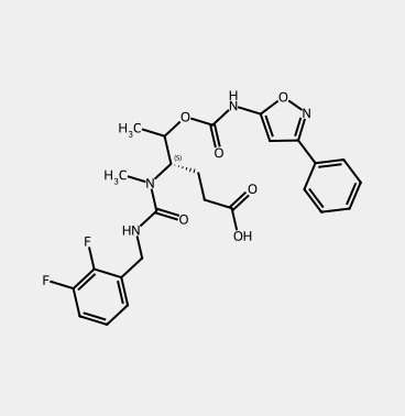 CC(OC(=O)Nc1cc(-c2ccccc2)no1)[C@H](CCC(=O)O)N(C)C(=O)NCc1cccc(F)c1F